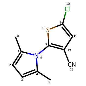 Cc1ccc(C)n1-c1sc(Cl)cc1C#N